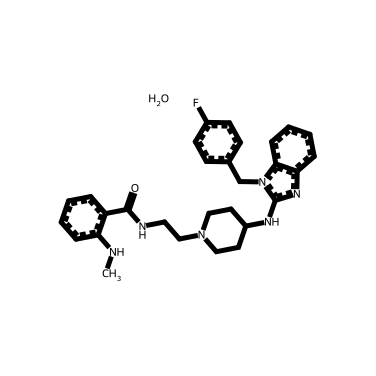 CNc1ccccc1C(=O)NCCN1CCC(Nc2nc3ccccc3n2Cc2ccc(F)cc2)CC1.O